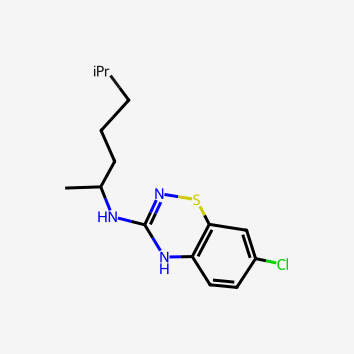 CC(C)CCCC(C)NC1=NSc2cc(Cl)ccc2N1